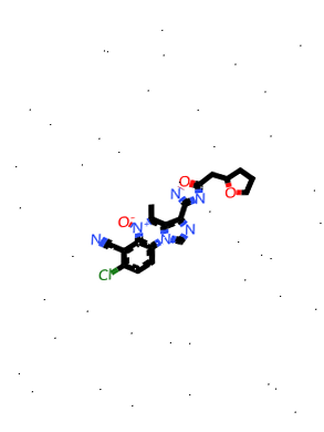 Cc1c2c(-c3noc(CC4CCCO4)n3)ncn2c2ccc(Cl)c(C#N)c2[n+]1[O-]